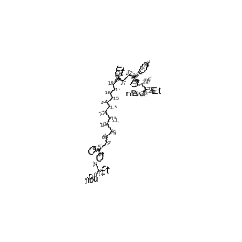 CCCCC(CC)COC(=O)CCCCCCCCCCCCC(CC)CCC(=O)OCC(CC)CCCC